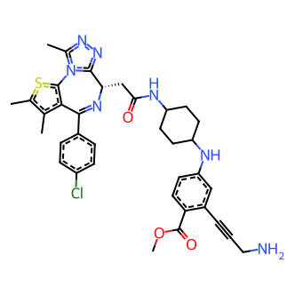 COC(=O)c1ccc(NC2CCC(NC(=O)C[C@@H]3N=C(c4ccc(Cl)cc4)c4c(sc(C)c4C)-n4c(C)nnc43)CC2)cc1C#CCN